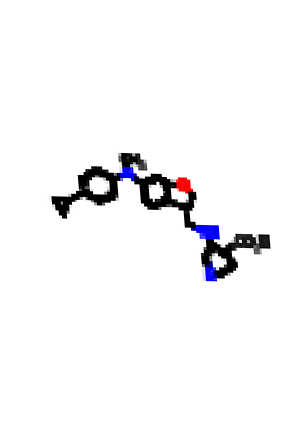 CN(c1ccc(C2CC2)cc1)c1ccc2c(c1)OC[C@H]2CNc1cnccc1C(=O)O